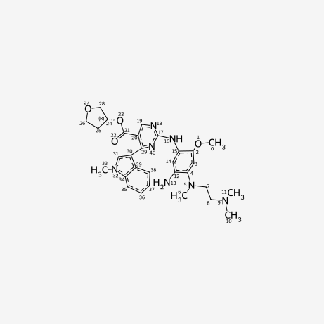 COc1cc(N(C)CCN(C)C)c(N)cc1Nc1ncc(C(=O)O[C@@H]2CCOC2)c(-c2cn(C)c3ccccc23)n1